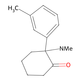 CNC1(c2cccc(C)c2)CCCCC1=O